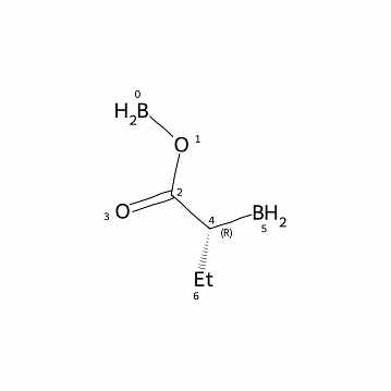 BOC(=O)[C@H](B)CC